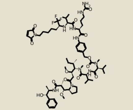 CC[C@H](C)[C@@H]([C@@H](CC(=O)N1CCC[C@H]1[C@H](OC)[C@@H](C)C(=O)N[C@H](C)[C@@H](O)c1ccccc1)OC)N(C)C(=O)[C@@H](NC(=O)[C@H](C(C)C)N(C)C(=O)OCc1ccc(NC(=O)[C@H](CCCNC(N)=O)NC(=O)[C@@H](N[C@@H](CCCCCN2C(=O)C=CC2=O)C(F)(F)F)C(C)C)cc1)C(C)C